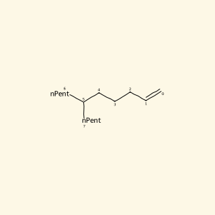 C=CCCCC(CCCCC)CCCCC